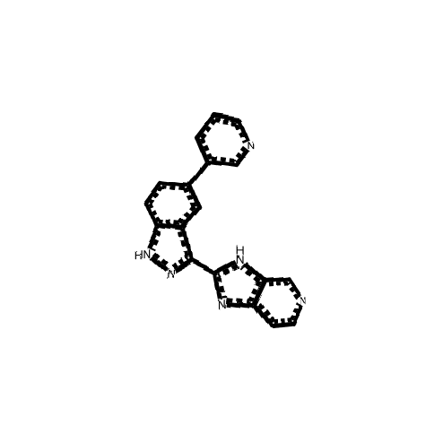 c1cncc(-c2ccc3[nH]nc(-c4nc5ccncc5[nH]4)c3c2)c1